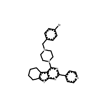 Brc1ccc(CN2CCN(c3nc(-c4ccncc4)nc4sc5c(c34)CCCC5)CC2)cc1